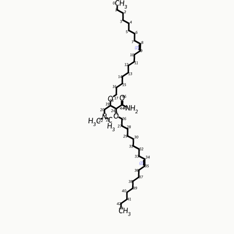 CCCCCCCC/C=C\CCCCCCCCOC(CN(C)C)C(OCCCCCCCC/C=C\CCCCCCCC)C(N)=O